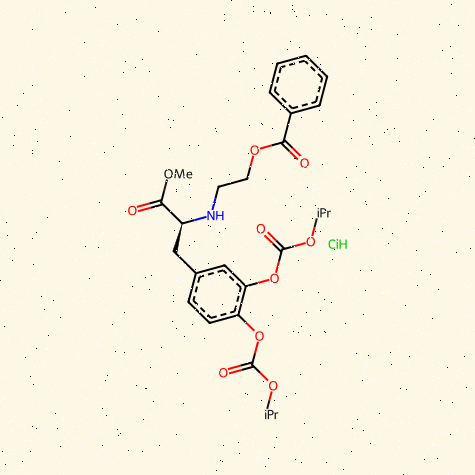 COC(=O)[C@H](Cc1ccc(OC(=O)OC(C)C)c(OC(=O)OC(C)C)c1)NCCOC(=O)c1ccccc1.Cl